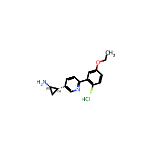 CCOc1ccc(F)c(-c2ccc([C@@H]3C[C@H]3N)cn2)c1.Cl